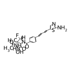 CC(=O)NC(C)(C(F)F)C(NC(=O)c1ccc(C#CC#Cc2cnc(N)s2)cc1)C(=O)NO